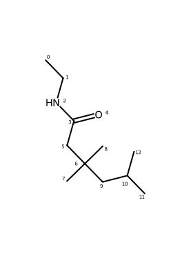 CCNC(=O)CC(C)(C)CC(C)C